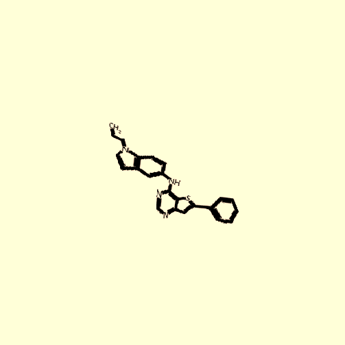 C=CCn1ccc2cc(Nc3ncnc4cc(-c5ccccc5)sc34)ccc21